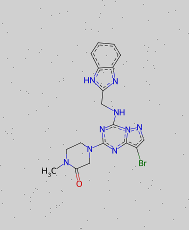 CN1CCN(c2nc(NCc3nc4ccccc4[nH]3)n3ncc(Br)c3n2)CC1=O